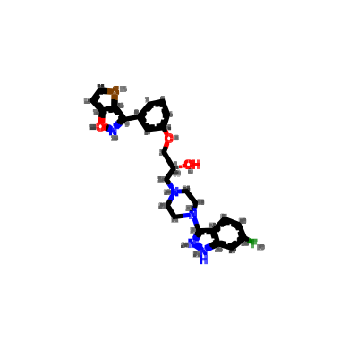 O[C@@H](COc1cccc(-c2noc3ccsc23)c1)CN1CCN(c2n[nH]c3cc(F)ccc23)CC1